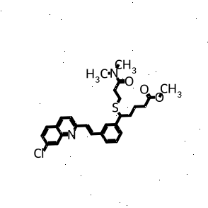 COC(=O)CCCC(SCCC(=O)N(C)C)c1cccc(C=Cc2ccc3ccc(Cl)cc3n2)c1